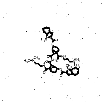 CN(C)CCCNC(=O)C1C2CC(OC(=O)c3cc4ccccc4n3C)C(C2)C1C(=O)NC(=O)C1C2CC(CC2OC(=O)c2cc3ccccc3n2C)C1C(=O)NCCCN(C)C